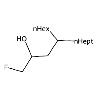 CCCCCCCC(CCCCCC)CC(O)CF